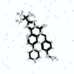 COc1ccc(Cn2c(=O)n3nc(C(C)(C)C)nc3c3ncc(N4CCOCC4)cc32)cc1